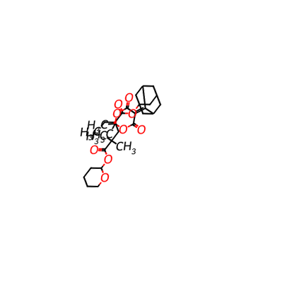 CCC(CC(C)(C)C(=O)OC1CCCCO1)C(=O)OC12CC3CC(C1)C(=C1C(=O)OC(C)(C)OC1=O)C(C3)C2